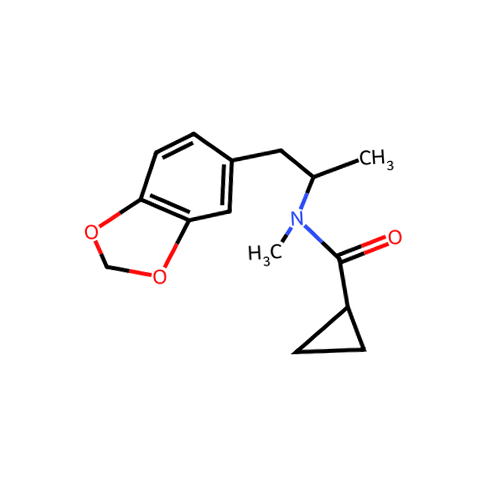 CC(Cc1ccc2c(c1)OCO2)N(C)C(=O)C1CC1